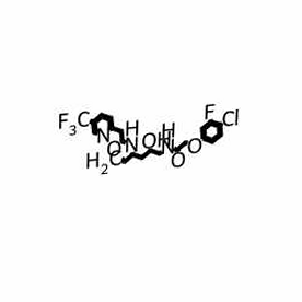 C=CC(CC(O)CNC(=O)COc1ccc(Cl)c(F)c1)NC(=O)Cc1ccc(C(F)(F)F)cn1